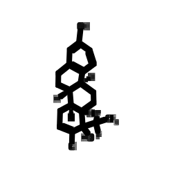 CC[C@]12CC[C@@H]3c4ccc(O)cc4CC[C@H]3[C@@H]1CC=C(Cl)C2(O)C(F)(F)C(F)(F)F